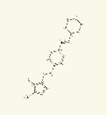 Cn1c([N+](=O)[O-])cnc1COc1ccc(/N=C/N2CCSCC2)cc1